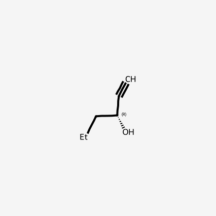 C#C[C@H](O)CCC